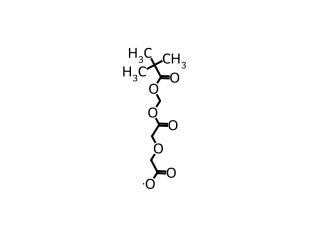 CC(C)(C)C(=O)OCOC(=O)COCC([O])=O